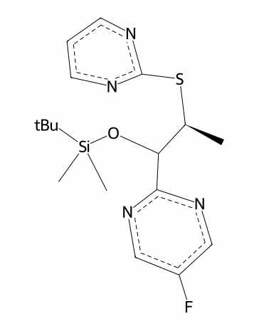 C[C@H](Sc1ncccn1)C(O[Si](C)(C)C(C)(C)C)c1ncc(F)cn1